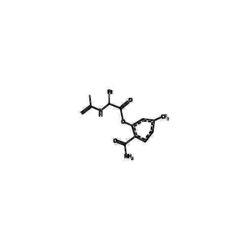 C=C(C)NC(CC)C(=O)Oc1cc(C(F)(F)F)ccc1C(N)=O